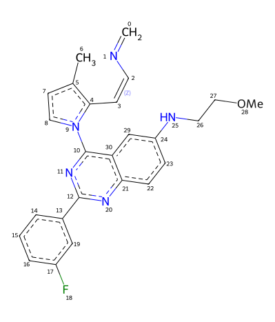 C=N/C=C\c1c(C)ccn1-c1nc(-c2cccc(F)c2)nc2ccc(NCCOC)cc12